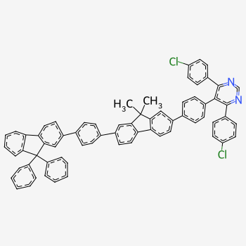 CC1(C)c2cc(-c3ccc(-c4ccc5c(c4)C(c4ccccc4)(c4ccccc4)c4ccccc4-5)cc3)ccc2-c2ccc(-c3ccc(-c4c(-c5ccc(Cl)cc5)ncnc4-c4ccc(Cl)cc4)cc3)cc21